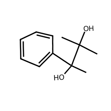 CC(C)(O)C(C)(O)c1ccccc1